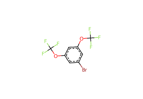 FC(F)(F)Oc1cc(Br)cc(OC(F)(F)F)c1